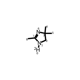 [2H]N1CC(C)(C)N=C1C